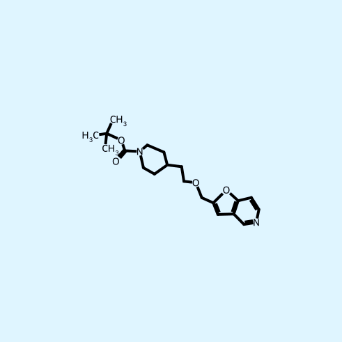 CC(C)(C)OC(=O)N1CCC(CCOCc2cc3cnccc3o2)CC1